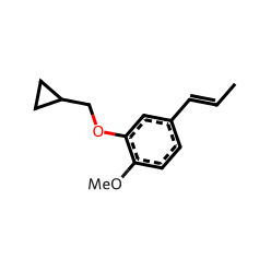 C/C=C/c1ccc(OC)c(OCC2CC2)c1